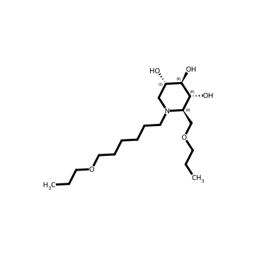 CCCOCCCCCCN1C[C@H](O)[C@@H](O)[C@H](O)[C@H]1COCCC